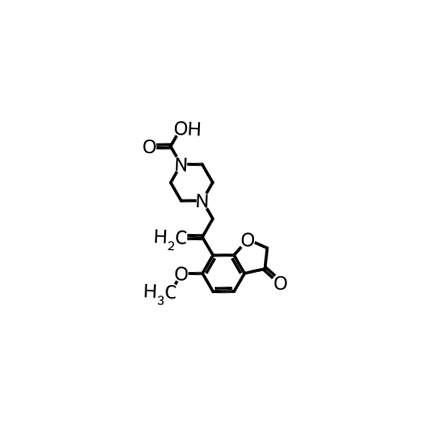 C=C(CN1CCN(C(=O)O)CC1)c1c(OC)ccc2c1OCC2=O